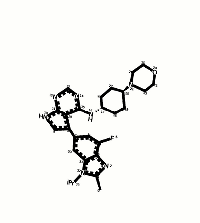 Cc1nc2c(F)cc(-c3c[nH]c4ncnc(N[C@H]5CC[C@H](N6CCOCC6)CC5)c34)cc2n1C(C)C